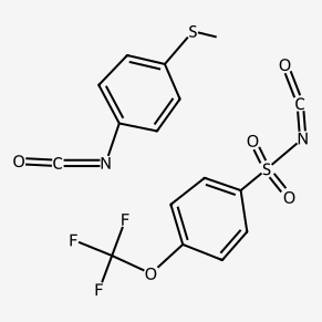 CSc1ccc(N=C=O)cc1.O=C=NS(=O)(=O)c1ccc(OC(F)(F)F)cc1